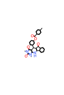 Cc1ccc(C(=O)Oc2cccc(C3C4=C(Nc5c3c(=O)n(C)c(=O)n5C)c3ccccc3C4=O)c2)cc1